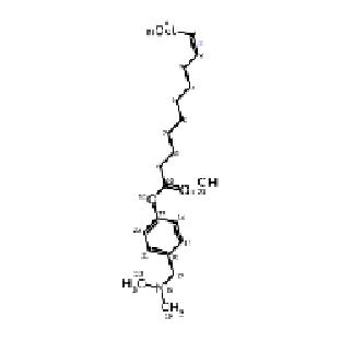 CCCCCCCC/C=C\CCCCCCCC(=O)Oc1ccc(CN(C)C)cc1.Cl